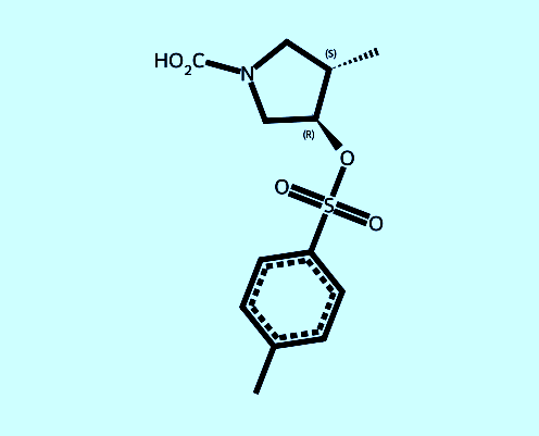 Cc1ccc(S(=O)(=O)O[C@H]2CN(C(=O)O)C[C@@H]2C)cc1